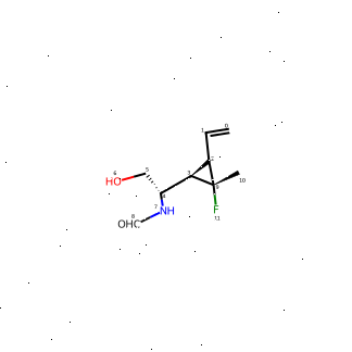 C=CC1[C@H]([C@@H](CO)NC=O)[C@@]1(C)F